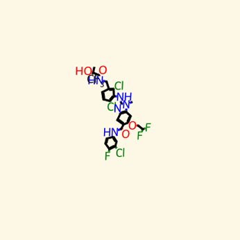 Cn1c(Nc2c(Cl)ccc(CNC(=O)C(C)(O)C(F)(F)F)c2Cl)nc2cc(C(=O)Nc3ccc(F)c(Cl)c3)c(OCC(F)F)cc21